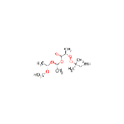 C=C(OOC(C)(C)CC(C)(C)C)C(=O)OC(C)OC(C)OC(=O)O